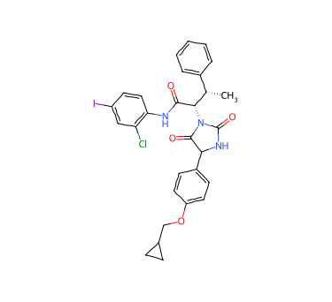 C[C@@H](c1ccccc1)[C@@H](C(=O)Nc1ccc(I)cc1Cl)N1C(=O)NC(c2ccc(OCC3CC3)cc2)C1=O